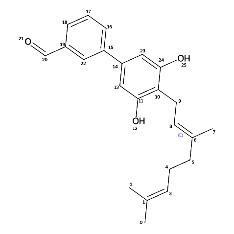 CC(C)=CCC/C(C)=C/Cc1c(O)cc(-c2cccc(C=O)c2)cc1O